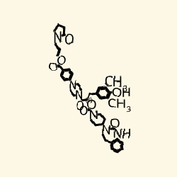 Cc1cc(C[C@@H](OC(=O)N2CCC(N3CCc4ccccc4NC3=O)CC2)C(=O)N2CCN(c3ccc(C(=O)OCCCN4CCCC4=O)cc3)CC2)cc(C)c1O